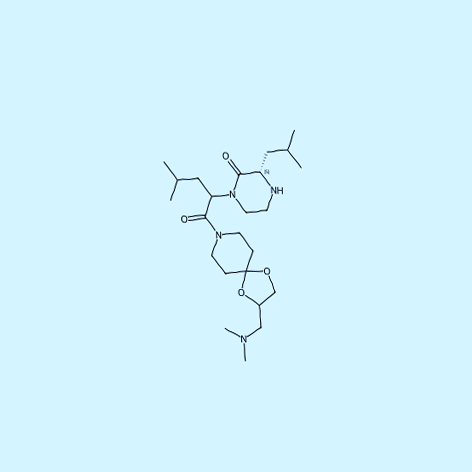 CC(C)CC(C(=O)N1CCC2(CC1)OCC(CN(C)C)O2)N1CCN[C@@H](CC(C)C)C1=O